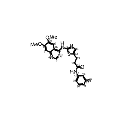 COc1cc2ncnc(Nc3ncc(CCC(=O)Nc4cccc(F)c4)s3)c2cc1OC